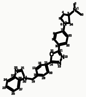 CN(C)C1CCN(c2ccc(-c3nnc(-c4ccc(Cn5cnc6ccccc65)cc4)o3)cc2)C1